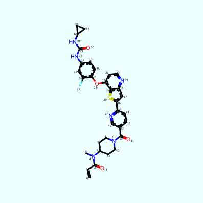 C=CC(=O)N(C)C1CCN(C(=O)c2ccc(-c3cc4nccc(Oc5ccc(NC(=O)NC6CC6)cc5F)c4s3)nc2)CC1